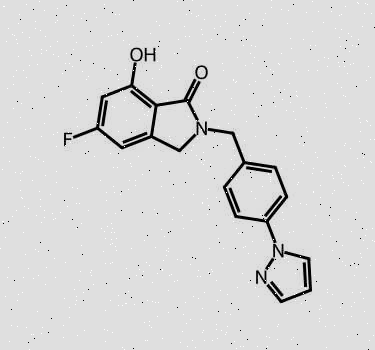 O=C1c2c(O)cc(F)cc2CN1Cc1ccc(-n2cccn2)cc1